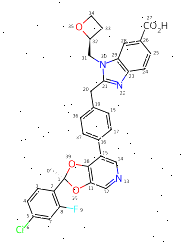 C[C@@]1(c2ccc(Cl)cc2F)Oc2cncc(-c3ccc(Cc4nc5ccc(C(=O)O)cc5n4C[C@@H]4CCO4)cc3)c2O1